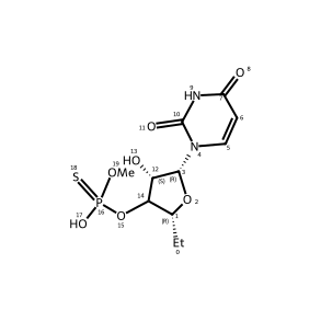 CC[C@H]1O[C@@H](n2ccc(=O)[nH]c2=O)[C@@H](O)C1OP(O)(=S)OC